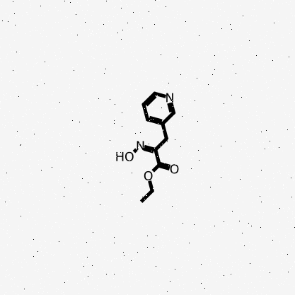 CCOC(=O)C(Cc1cccnc1)=NO